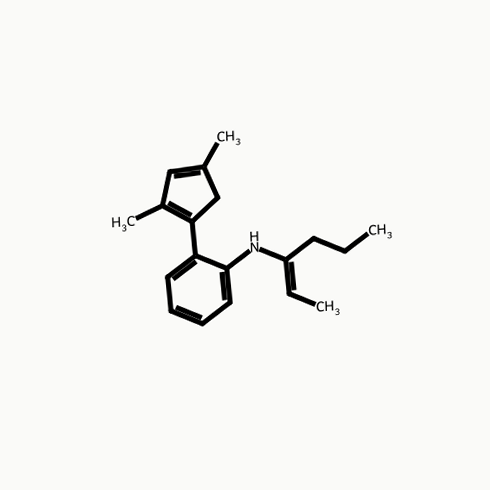 CC=C(CCC)Nc1ccccc1C1=C(C)C=C(C)C1